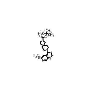 COc1cc2c(N3CCC4(CCN(C(=O)OC(C)(C)C)C4)CC3)ncnc2cn1